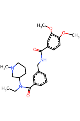 CCN(C(=O)c1cccc(CNC(=O)c2ccc(OC)c(OC)c2)c1)C1CCCN(C)C1